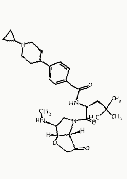 CN[C@H]1CN(C(=O)[C@H](CC(C)(C)C)NC(=O)c2ccc(C3CCN(C4CC4)CC3)cc2)[C@@H]2C(=O)CO[C@H]12